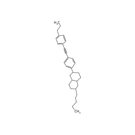 CCCCCC1CCC2CC(c3ccc(C#Cc4ccc(CCC)cc4)cc3)CCC2C1